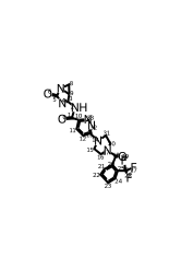 O=C(NC1=NC(=O)N2CC12)c1ccc(N2CCN(C(=O)c3ccccc3C(F)(F)F)CC2)nn1